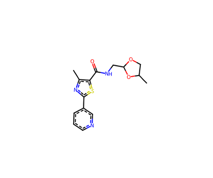 Cc1nc(-c2cccnc2)sc1C(=O)NCC1OCC(C)O1